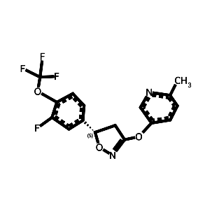 Cc1ccc(OC2=NO[C@H](c3ccc(OC(F)(F)F)c(F)c3)C2)cn1